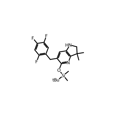 CC1(C)CNc2cc(Cc3cc(F)c(F)cc3F)c(O[Si](C)(C)C(C)(C)C)nc21